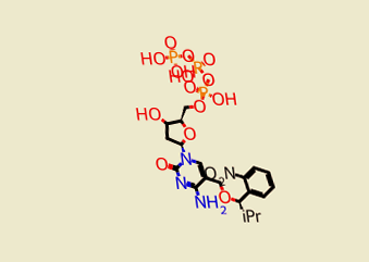 CC(C)[C@@H](OCc1cn([C@H]2CC(O)[C@@H](COP(=O)(O)OP(=O)(O)OP(=O)(O)O)O2)c(=O)nc1N)c1ccccc1[N+](=O)[O-]